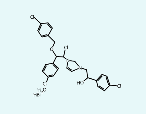 Br.O.OC(CN1C=CN(C(Cl)C(OCc2ccc(Cl)cc2)c2ccc(Cl)cc2)C1)c1ccc(Cl)cc1